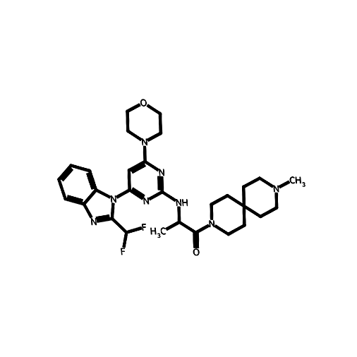 CC(Nc1nc(N2CCOCC2)cc(-n2c(C(F)F)nc3ccccc32)n1)C(=O)N1CCC2(CCN(C)CC2)CC1